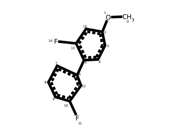 COc1ccc(-c2cccc(F)c2)c(F)c1